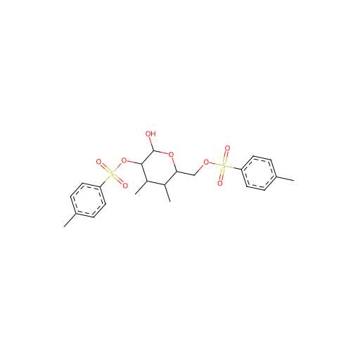 Cc1ccc(S(=O)(=O)OCC2OC(O)C(OS(=O)(=O)c3ccc(C)cc3)C(C)C2C)cc1